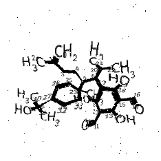 C=C(C)CC[C@@H](C(c1c(O)c(C=O)c(O)c(C=O)c1O)C(C)C)[C@@]1(C)C=C[C@H](C(C)(C)O)CC1